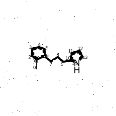 Ic1ccccc1CCCc1ccc[nH]1